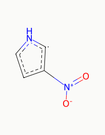 O=[N+]([O-])c1[c][nH]cc1